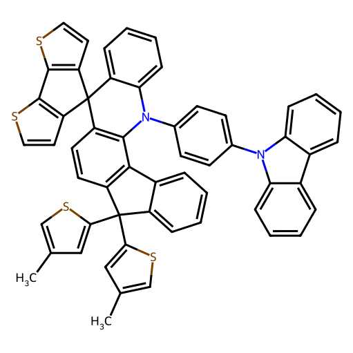 Cc1csc(C2(c3cc(C)cs3)c3ccccc3-c3c2ccc2c3N(c3ccc(-n4c5ccccc5c5ccccc54)cc3)c3ccccc3C23c2ccsc2-c2sccc23)c1